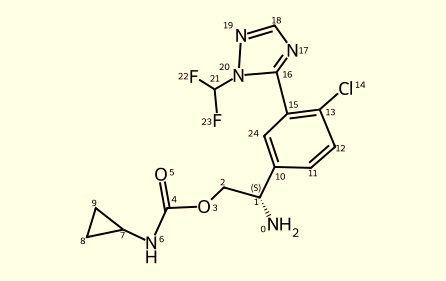 N[C@H](COC(=O)NC1CC1)c1ccc(Cl)c(-c2ncnn2C(F)F)c1